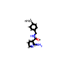 CCCCCCc1ccc(CNC(=O)c2cccnc2N)cc1